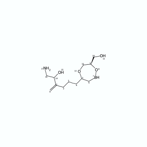 C=C(CCCC1CBO[C@H](CO)CO1)C(O)CN